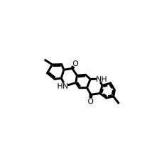 CC1=CC2C(=O)C3=CC4Nc5ccc(C)cc5C(=O)C4C=C3NC2C=C1